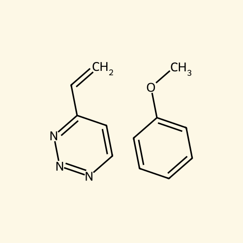 C=Cc1ccnnn1.COc1ccccc1